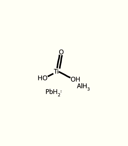 [AlH3].[O]=[Ti]([OH])[OH].[PbH2]